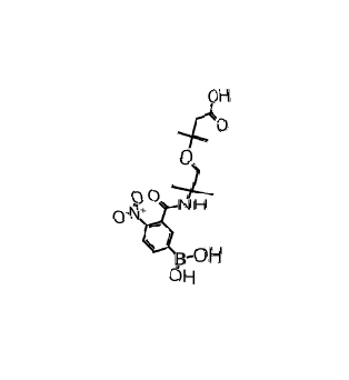 CC(C)(COC(C)(C)CC(=O)O)NC(=O)c1cc(B(O)O)ccc1[N+](=O)[O-]